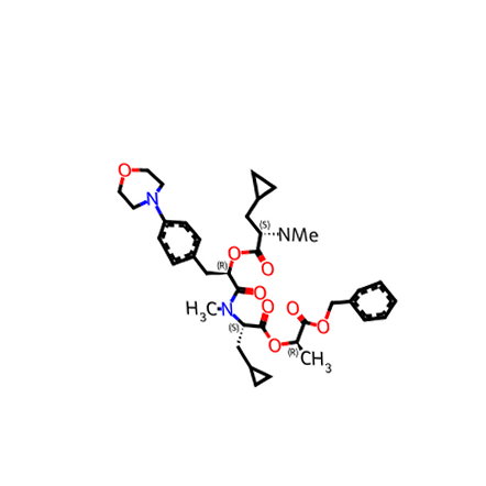 CN[C@@H](CC1CC1)C(=O)O[C@H](Cc1ccc(N2CCOCC2)cc1)C(=O)N(C)[C@@H](CC1CC1)C(=O)O[C@H](C)C(=O)OCc1ccccc1